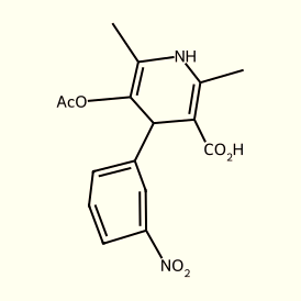 CC(=O)OC1=C(C)NC(C)=C(C(=O)O)C1c1cccc([N+](=O)[O-])c1